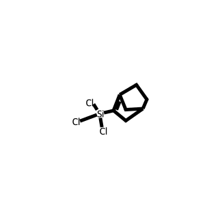 Cl[Si](Cl)(Cl)C1=C2CCC(C2)C1